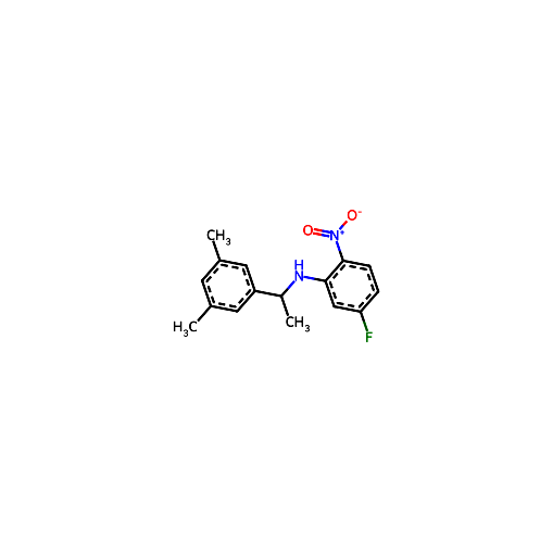 Cc1cc(C)cc(C(C)Nc2cc(F)ccc2[N+](=O)[O-])c1